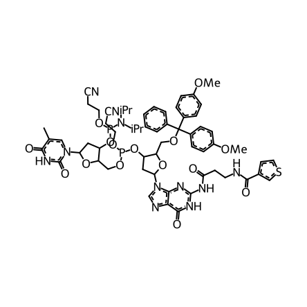 COc1ccc(C(OCC2OC(n3cnc4c(=O)[nH]c(NC(=O)CCNC(=O)c5ccsc5)nc43)CC2OP(OCCC#N)OCC2OC(n3cc(C)c(=O)[nH]c3=O)CC2OP(OCCC#N)N(C(C)C)C(C)C)(c2ccccc2)c2ccc(OC)cc2)cc1